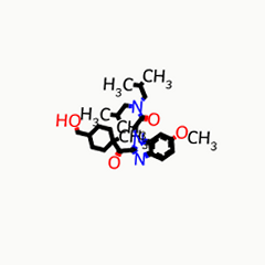 COc1ccc2nc(C(=O)C3(C)CCC(CO)CC3)n(CC(=O)N(CC(C)C)CC(C)C)c2c1